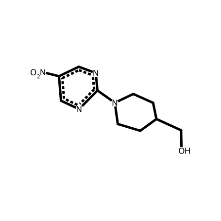 O=[N+]([O-])c1cnc(N2CCC(CO)CC2)nc1